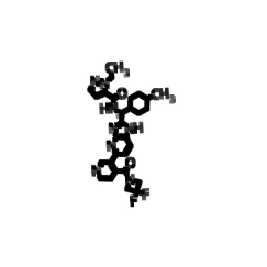 CCn1nccc1C(=O)N[C@H](c1nc2nc(-c3cnccc3C(=O)N3CC(F)(F)C3)ccc2[nH]1)C1CCC(C)CC1